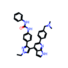 CCn1cc(-c2cc(-c3ccc(CN(C)C)cc3)nc3[nH]ccc23)c(-c2ccc(NC(=O)Nc3ccccc3)cc2)n1